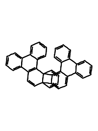 C1=CC23C=Cc4c(c5ccccc5c5ccccc45)C2(C=C1)c1c3ccc2c3ccccc3c3ccccc3c12